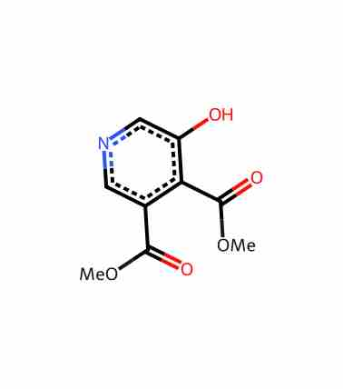 COC(=O)c1cncc(O)c1C(=O)OC